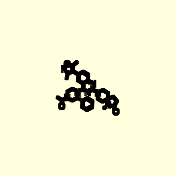 CC(=O)N1CCN(c2nc(N3CCC4(CCC(=O)N4C)CC3)nc3ccc(-c4c(C)noc4C)cc23)[C@@H](c2ccccc2)C1